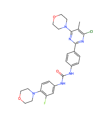 Cc1c(Cl)nc(-c2ccc(NC(=O)Nc3ccc(N4CCOCC4)c(F)c3)cc2)nc1N1CCOCC1